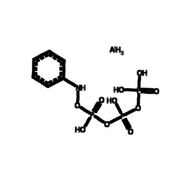 O=P(O)(O)OP(=O)(O)OP(=O)(O)ONc1ccccc1.[AlH3]